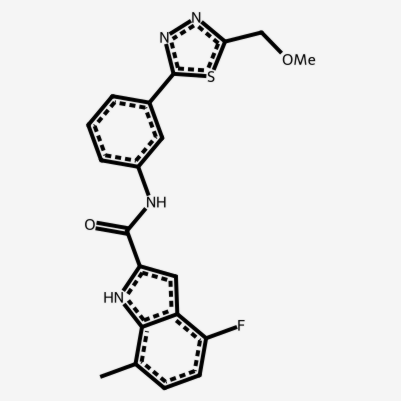 COCc1nnc(-c2cccc(NC(=O)c3cc4c(F)ccc(C)c4[nH]3)c2)s1